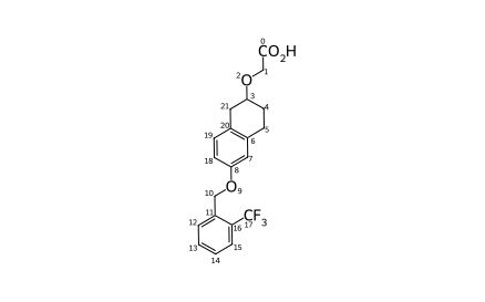 O=C(O)COC1CCc2cc(OCc3ccccc3C(F)(F)F)ccc2C1